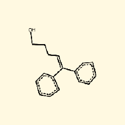 OCCCC=C(c1ccccc1)c1ccccc1